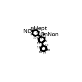 CCCCCCCCCOC1(C2CCC(C#N)(CCCCCCC)CC2)C=CC(c2ccccc2)=CC1